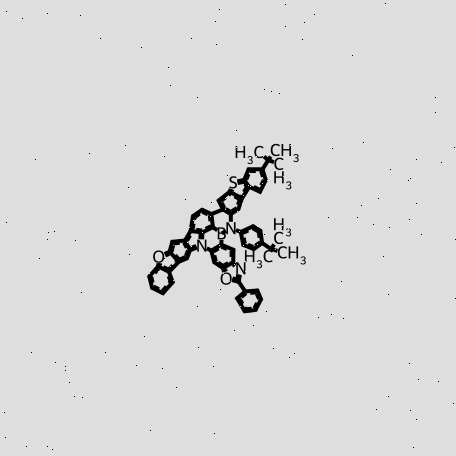 CC(C)(C)c1ccc(N2B3c4cc5nc(-c6ccccc6)oc5cc4-n4c5cc6c(cc5c5ccc(c3c54)-c3cc4sc5cc(C(C)(C)C)ccc5c4cc32)oc2ccccc26)cc1